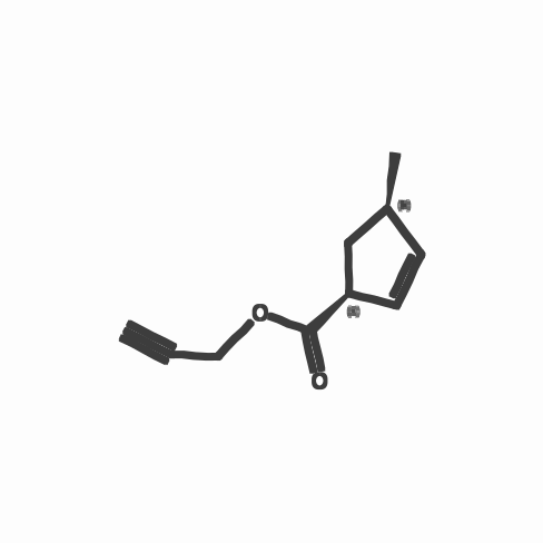 C#CCOC(=O)[C@@H]1C=C[C@H](C)C1